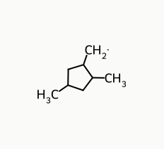 [CH2]C1CC(C)CC1C